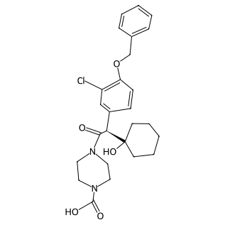 O=C(O)N1CCN(C(=O)[C@@H](c2ccc(OCc3ccccc3)c(Cl)c2)C2(O)CCCCC2)CC1